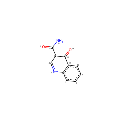 NC(=O)C1C=Nc2ccccc2C1=O